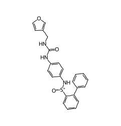 O=C(NCc1ccoc1)Nc1ccc(N[S+]([O-])c2ccccc2-c2ccccc2)cc1